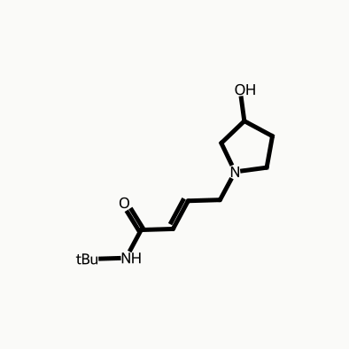 CC(C)(C)NC(=O)/C=C/CN1CCC(O)C1